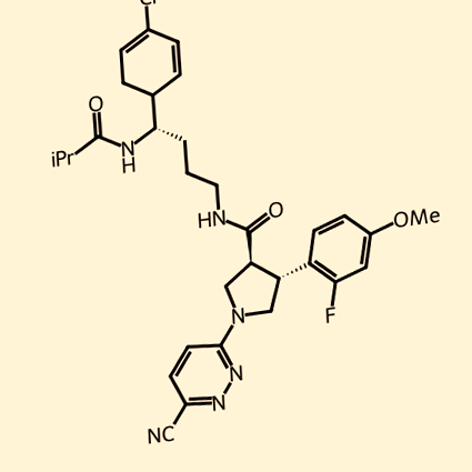 COc1ccc([C@@H]2CN(c3ccc(C#N)nn3)C[C@H]2C(=O)NCCC[C@H](NC(=O)C(C)C)C2C=CC(Cl)=CC2)c(F)c1